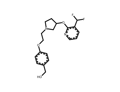 OCc1ccc(OCCN2CCC(Oc3ncccc3C(F)F)C2)cc1